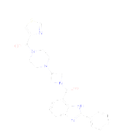 O=C(c1cscn1)N1CCN(C2CN(C(=O)c3cccc4nc(-c5ccccc5)[nH]c34)C2)CC1